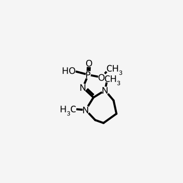 COP(=O)(O)N=C1N(C)CCCCN1C